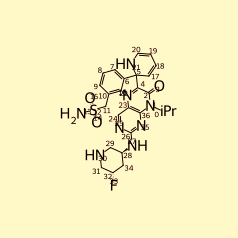 CC(C)n1c(=O)c(C2(c3cccc(CS(N)(=O)=O)c3)C=CC=CN2)nc2cnc(N[C@@H]3CNC[C@@H](F)C3)nc21